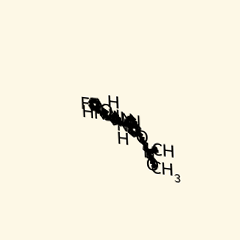 C#CN(CCCOc1ccc2c(Nc3cc(CC(=O)Nc4cccc(F)c4)[nH]n3)ncnc2c1)CCOC